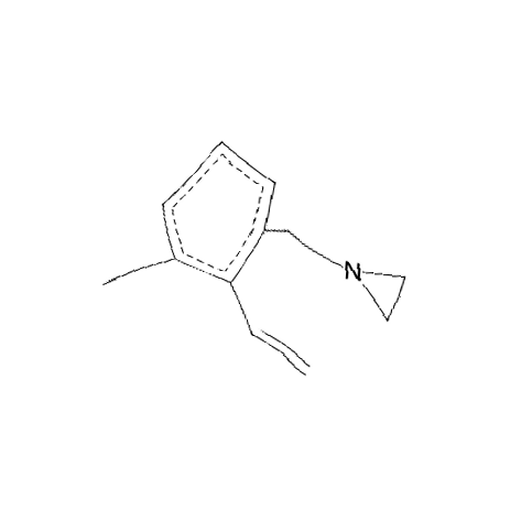 C=Cc1c(C)cccc1N1CC1